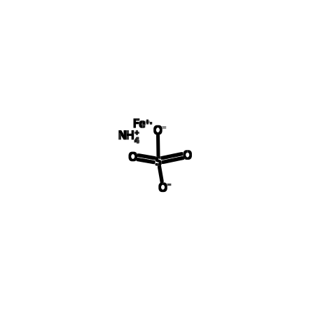 O=S(=O)([O-])[O-].[Fe+].[NH4+]